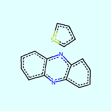 c1ccc2nc3ccccc3nc2c1.c1ccsc1